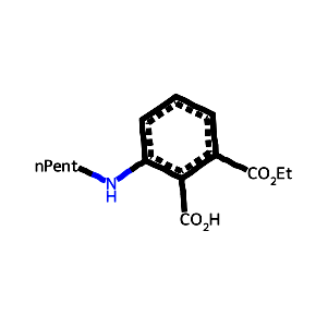 CCCCCNc1cccc(C(=O)OCC)c1C(=O)O